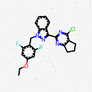 CCOc1cc(F)c(Cn2nc(-c3nc(Cl)c4c(n3)CCC4)c3ccccc32)c(F)c1